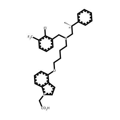 C[C@@H](CN(CCCCOc1cccc2c1ccn2CC(=O)O)Cc1cccc(C(F)(F)F)c1Cl)c1ccccc1